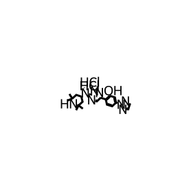 CN(c1ncc(-c2ccc(-n3nccn3)cc2O)nn1)C1CC(C)(C)NC(C)(C)C1.Cl.Cl